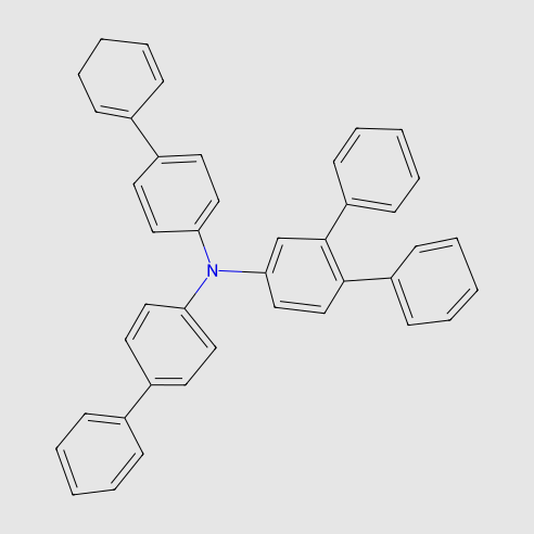 C1=CC(c2ccc(N(c3ccc(-c4ccccc4)cc3)c3ccc(-c4ccccc4)c(-c4ccccc4)c3)cc2)=CCC1